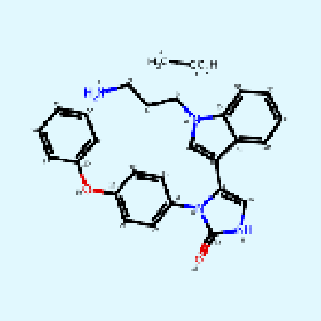 CC(=O)O.NCCCn1cc(-c2c[nH]c(=O)n2-c2ccc(Oc3ccccc3)cc2)c2ccccc21